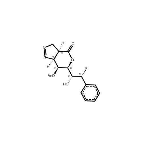 CC(=O)O[C@H]1[C@H]2N=NC[C@H]2C(=O)O[C@H]1[C@@H](O)[C@H](F)c1ccccc1